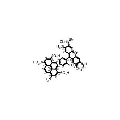 CCNc1cc2[o+]c3cc(NCC)c(C)cc3c(-c3ccccc3C(=O)OCC)c2cc1C.Nc1cc(S(=O)(=O)O)c2ccc3c(S(=O)(=O)O)cc(S(=O)(=O)O)c4ccc1c2c43.[Cl-]